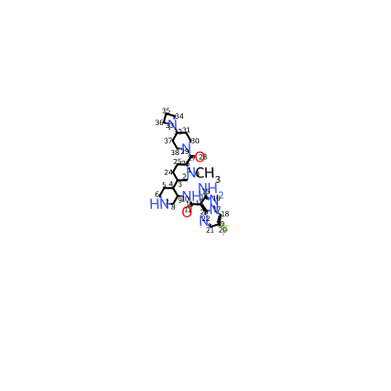 CN1CC(C2CCNCC2NC(=O)c2c(N)nn3cc(F)cnc23)CCC1C(=O)N1CCC(N2CCC2)CC1